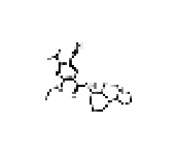 CCOc1cc(C(C)C)c(C#N)cc1C(=O)NC1CCCC2C1CCN1CCCC21